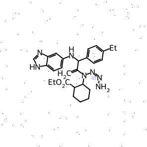 C=C(C(Nc1ccc2[nH]cnc2c1)c1ccc(CC)cc1)N(/N=N\N)C1CCCCC1C(=O)OCC